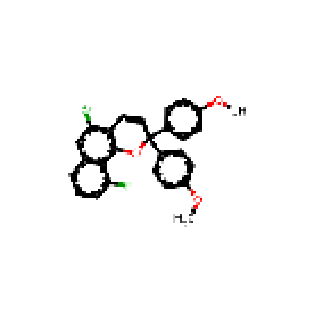 COc1ccc(C2(c3ccc(OC)cc3)C=Cc3c(Br)cc4cccc(F)c4c3O2)cc1